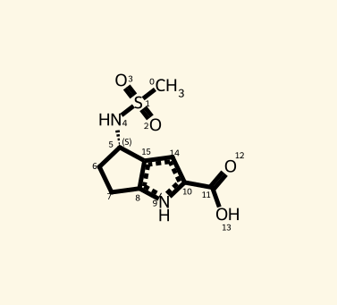 CS(=O)(=O)N[C@H]1CCc2[nH]c(C(=O)O)cc21